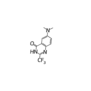 CN(C)c1ccc2nc(C(F)(F)F)[nH]c(=O)c2c1